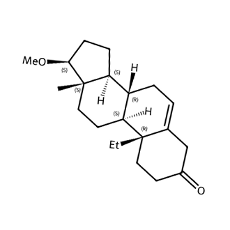 CC[C@]12CCC(=O)CC1=CC[C@@H]1[C@@H]2CC[C@]2(C)[C@@H](OC)CC[C@@H]12